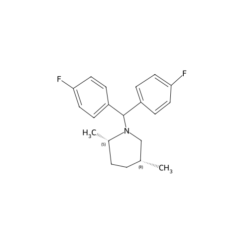 C[C@@H]1CC[C@H](C)N(C(c2ccc(F)cc2)c2ccc(F)cc2)C1